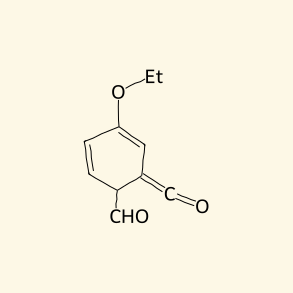 CCOC1=CC(=C=O)C(C=O)C=C1